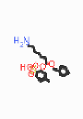 Cc1ccc(S(=O)(=O)O)cc1.NCCCCCCC(=O)OCc1ccccc1